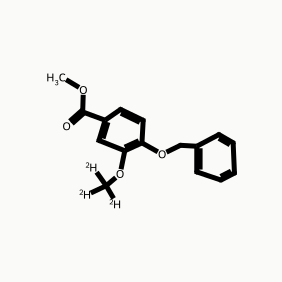 [2H]C([2H])([2H])Oc1cc(C(=O)OC)ccc1OCc1ccccc1